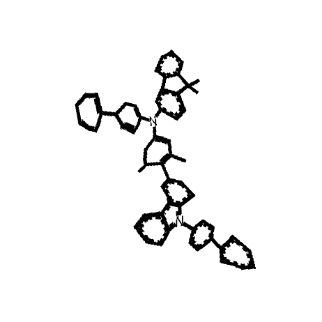 CC1=C(c2ccc3c(c2)c2ccccc2n3-c2ccc(-c3ccccc3)cc2)C(C)CC(N(C2=CCC(C3=CCCC=C3)C=C2)c2ccc3c(c2)-c2ccccc2C3(C)C)=C1